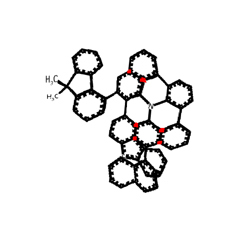 CC1(C)c2ccccc2-c2c(-c3cccc(N(c4ccc(-c5cccc6ccccc56)cc4)c4c(-c5ccccc5)cccc4-c4ccccc4)c3-c3ccc4sc5ccccc5c4c3)cccc21